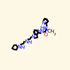 C[C@H](NCc1ccccn1)C(=O)NCc1cccc2c1CCN2CCCNCCCNC1CCCCC1